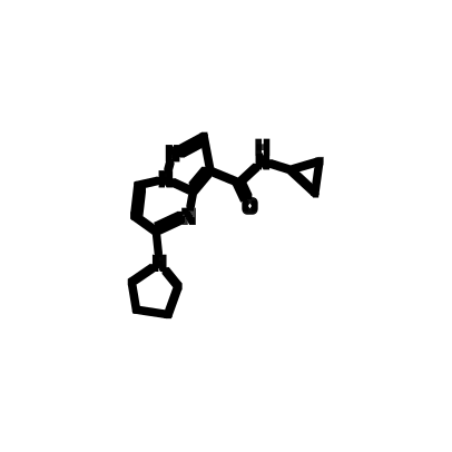 O=C(NC1CC1)c1cnn2ccc(N3CCCC3)nc12